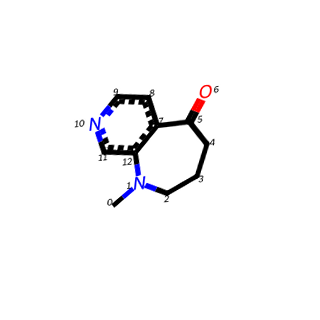 CN1CCCC(=O)c2ccncc21